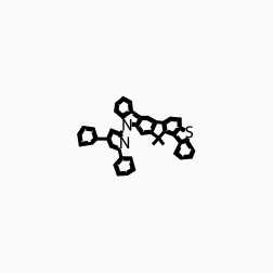 CC1(C)c2cc3c(cc2-c2ccc4sc5ccccc5c4c21)c1ccccc1n3-c1cc(-c2ccccc2)cc(-c2ccccc2)n1